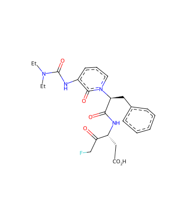 CCN(CC)C(=O)Nc1cccn([C@@H](Cc2ccccc2)C(=O)N[C@H](CC(=O)O)C(=O)CF)c1=O